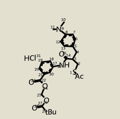 CC(=O)SCC(Cc1ccc(N(C)C)cc1)C(=O)Nc1cccc(C(=O)OCOC(=O)C(C)(C)C)c1.Cl